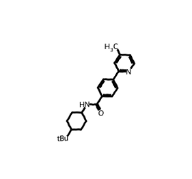 Cc1ccnc(-c2ccc(C(=O)NC3CCC(C(C)(C)C)CC3)cc2)c1